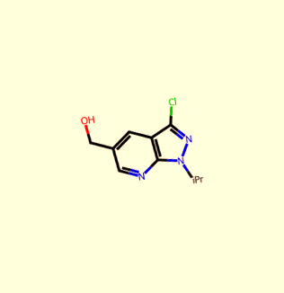 CC(C)n1nc(Cl)c2cc(CO)cnc21